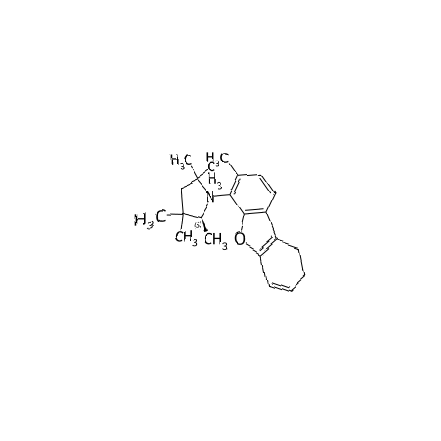 Cc1ccc2c3c(oc2c1N1[C@@H](C)C(C)(C)CC1(C)C)C=CCC3